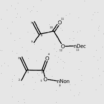 C=C(C)C(=O)OCCCCCCCCC.C=C(C)C(=O)OCCCCCCCCCC